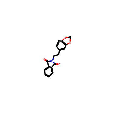 O=C1c2ccccc2C(=O)N1CCc1ccc2c(c1)OCO2